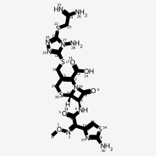 CO/N=C(\C(=O)N[C@@H]1C(=O)N2C(C(=O)O)=C(CSc3nnc(SCC(=N)N)n3N)CS[C@@H]12)c1csc(N)n1